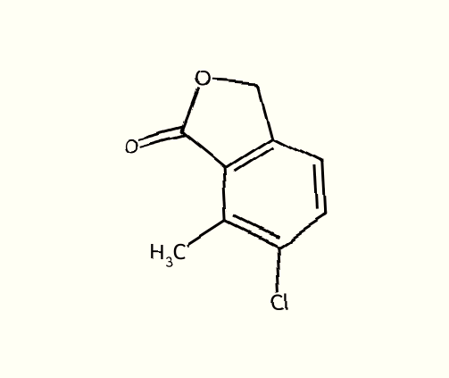 Cc1c(Cl)ccc2c1C(=O)OC2